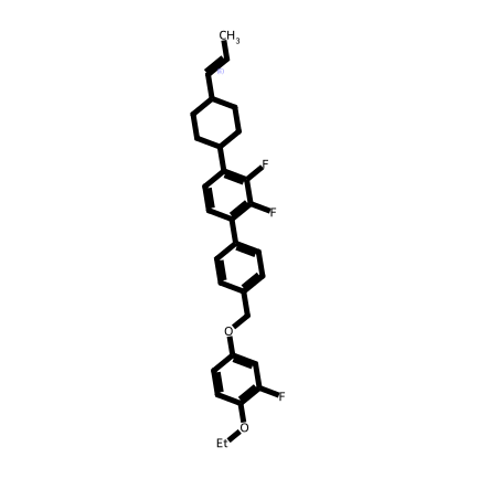 C/C=C/C1CCC(c2ccc(-c3ccc(COc4ccc(OCC)c(F)c4)cc3)c(F)c2F)CC1